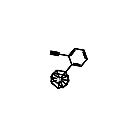 C#Cc1ccccc1[C]12[CH]3[CH]4[CH]5[CH]1[Fe]45321678[CH]2[CH]1[CH]6[CH]7[CH]28